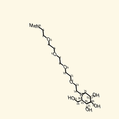 CNCCOCCOCCOCCOCCN1C[C@H](O)[C@@H](O)[C@H](O)[C@H]1CO